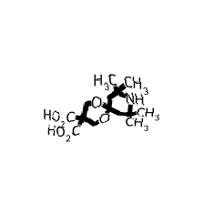 CC1(C)CC2(CC(C)(C)N1)OCC(C(=O)O)(C(=O)O)CO2